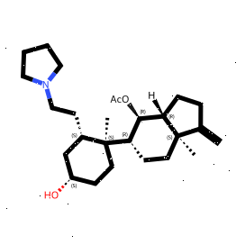 C=C1CC[C@H]2[C@H](OC(C)=O)[C@@H]([C@@]3(C)CC[C@H](O)C[C@@H]3CCN3CCCC3)CC[C@]12C